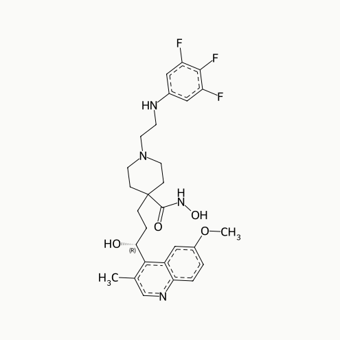 COc1ccc2ncc(C)c([C@H](O)CCC3(C(=O)NO)CCN(CCNc4cc(F)c(F)c(F)c4)CC3)c2c1